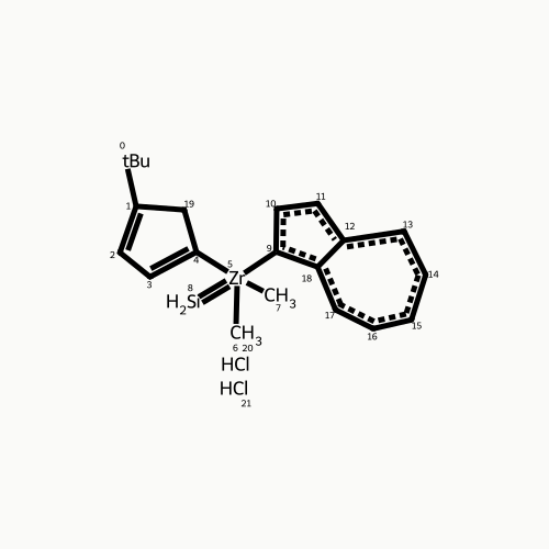 CC(C)(C)C1=CC=[C]([Zr]([CH3])([CH3])(=[SiH2])[c]2ccc3cccccc2-3)C1.Cl.Cl